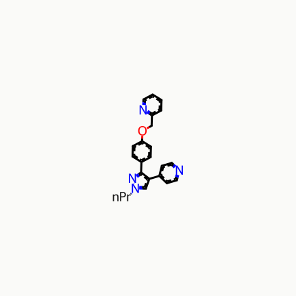 CCCn1cc(-c2ccncc2)c(-c2ccc(OCc3ccccn3)cc2)n1